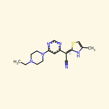 CCN1CCN(c2cc(/C(C#N)=C3/NC(C)=CS3)ncn2)CC1